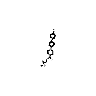 CNC(=O)COC(=O)N1CCN(c2ccc(-c3ccc(Cl)cc3)cc2)CC1